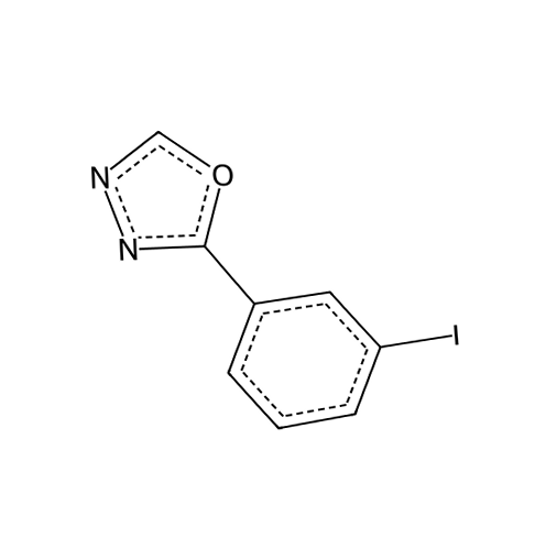 Ic1cccc(-c2nnco2)c1